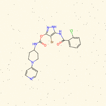 O=C(NC1CCN(c2ccncc2)CC1)Oc1n[nH]c(NC(=O)c2ccccc2Cl)c1Br